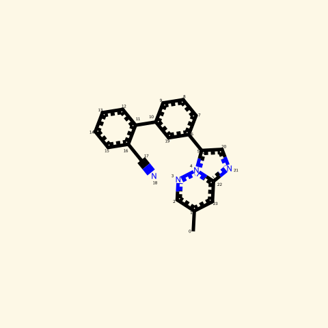 Cc1cnn2c(-c3cccc(-c4ccccc4C#N)c3)cnc2c1